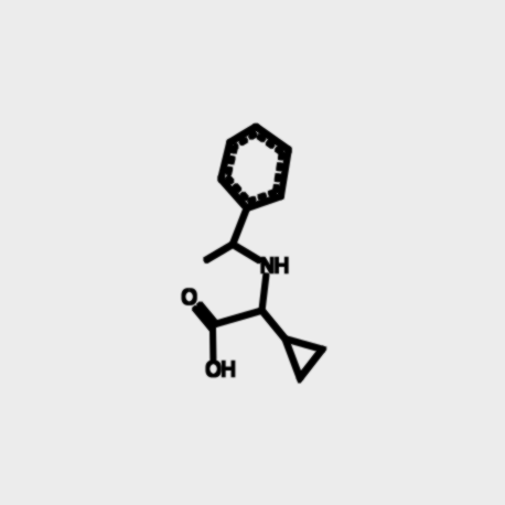 CC(NC(C(=O)O)C1CC1)c1ccccc1